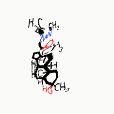 C=CN(CC(=O)[C@H]1CC[C@H]2[C@@H]3CC[C@H]4C[C@](C)(O)CC[C@]4(C)[C@H]3CC[C@]12C)N=C